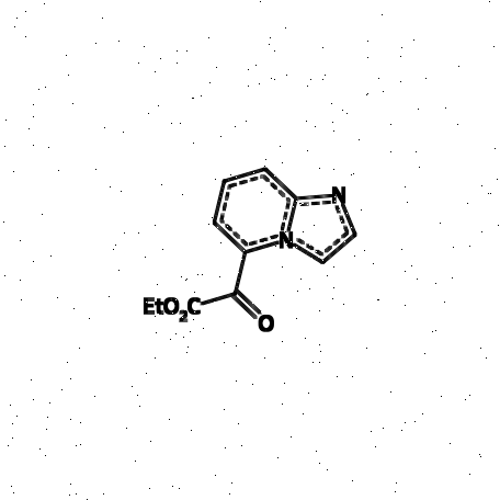 CCOC(=O)C(=O)c1cccc2nccn12